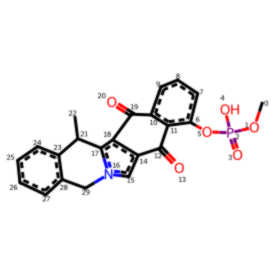 COP(=O)(O)Oc1cccc2c1C(=O)c1cn3c(c1C2=O)C(C)c1ccccc1C3